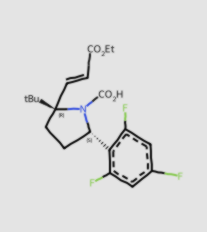 CCOC(=O)C=C[C@@]1(C(C)(C)C)CC[C@@H](c2c(F)cc(F)cc2F)N1C(=O)O